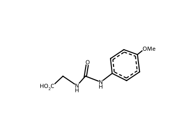 COc1ccc(NC(=O)NCC(=O)O)cc1